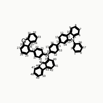 c1ccc(-n2c3ccccc3c3ccc(-c4ccc(N(c5ccc(-c6cccc7oc8ccccc8c67)cc5)c5cccc6c5sc5ccccc56)cc4)cc32)cc1